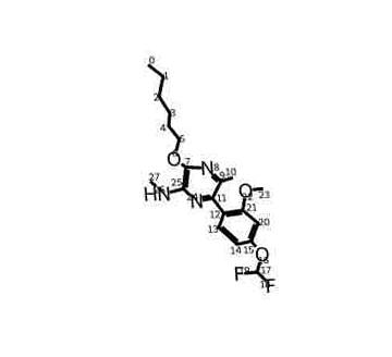 CCCCCCOc1nc(C)c(-c2ccc(OC(F)F)cc2OC)nc1NC